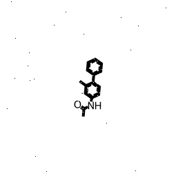 CC(=O)Nc1[c]c(C)c(-c2ccccc2)cc1